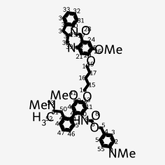 CNc1ccc(COC(=O)Nc2cc(OCCCCCOc3cc4c(cc3OC)C(=O)N3c5ccccc5CC3C=N4)c(OC)cc2-c2ccccc2C[C@@H](C)NC)cc1